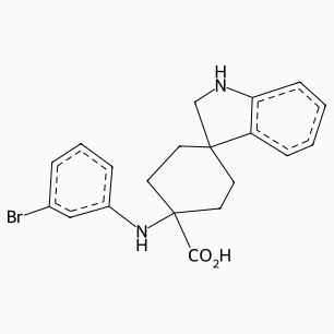 O=C(O)C1(Nc2cccc(Br)c2)CCC2(CC1)CNc1ccccc12